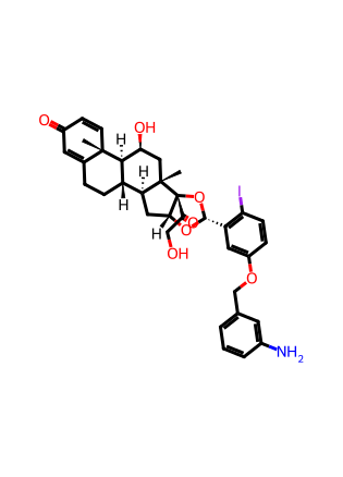 C[C@]12C=CC(=O)C=C1CC[C@@H]1[C@@H]2[C@@H](O)C[C@@]2(C)[C@H]1C[C@H]1O[C@@H](c3cc(OCc4cccc(N)c4)ccc3I)O[C@]12C(=O)CO